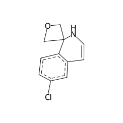 Clc1ccc2c(c1)C=CNC21COC1